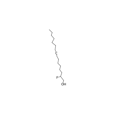 CCCCCCCCCCCCCCC(F)CO